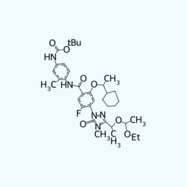 CCOC(C)OC(C)c1nn(-c2cc(OC(C)C3CCCCC3)c(C(=O)Nc3ccc(NC(=O)OC(C)(C)C)cc3C)cc2F)c(=O)n1C